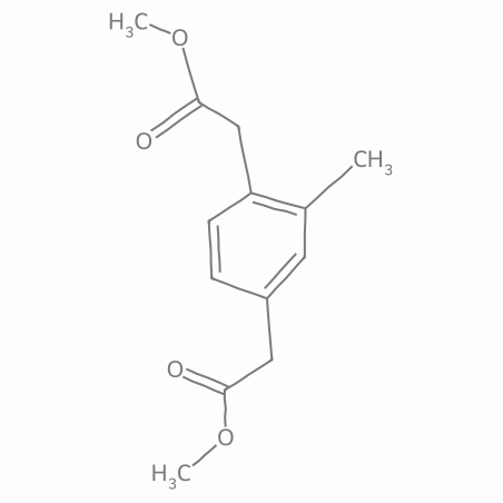 COC(=O)Cc1ccc(CC(=O)OC)c(C)c1